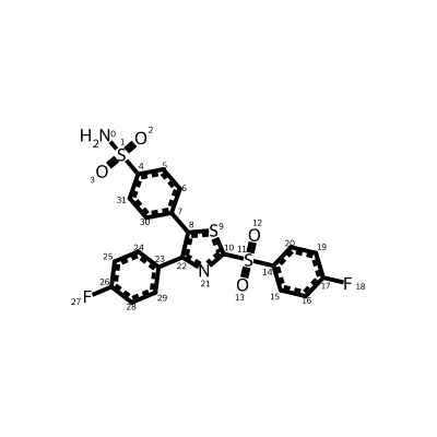 NS(=O)(=O)c1ccc(-c2sc(S(=O)(=O)c3ccc(F)cc3)nc2-c2ccc(F)cc2)cc1